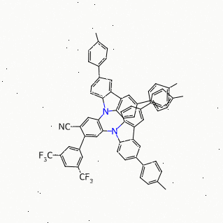 Cc1ccc(-c2ccc3c(c2)c2cc(-c4ccc(C)cc4)ccc2n3-c2cc(C#N)c(-c3cc(C(F)(F)F)cc(C(F)(F)F)c3)cc2-n2c3ccc(-c4ccc(C)cc4)cc3c3cc(-c4ccc(C)cc4)ccc32)cc1